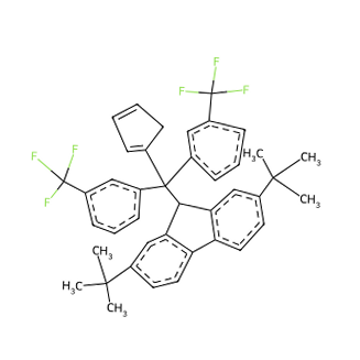 CC(C)(C)c1ccc2c(c1)C(C(C1=CC=CC1)(c1cccc(C(F)(F)F)c1)c1cccc(C(F)(F)F)c1)c1cc(C(C)(C)C)ccc1-2